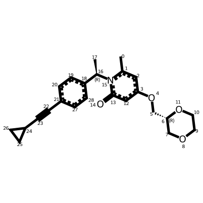 Cc1cc(OC[C@H]2COCCO2)cc(=O)n1[C@H](C)c1ccc(C#CC2CC2)cc1